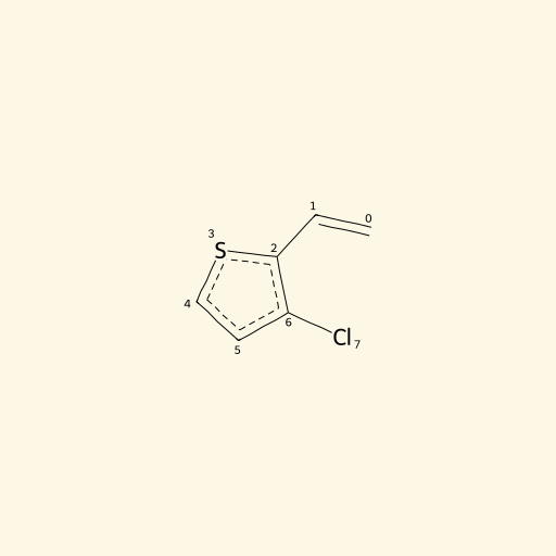 C=Cc1sccc1Cl